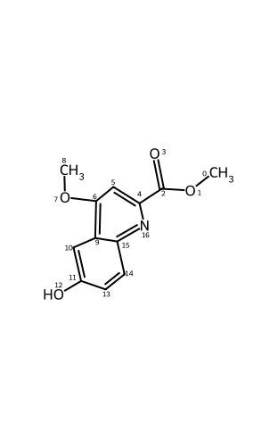 COC(=O)c1cc(OC)c2cc(O)ccc2n1